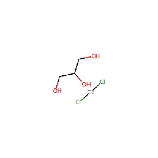 OCC(O)CO.[Cl][Cu][Cl]